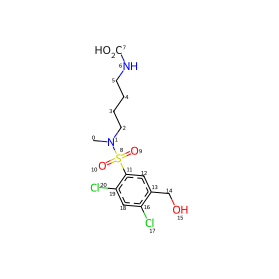 CN(CCCCNC(=O)O)S(=O)(=O)c1cc(CO)c(Cl)cc1Cl